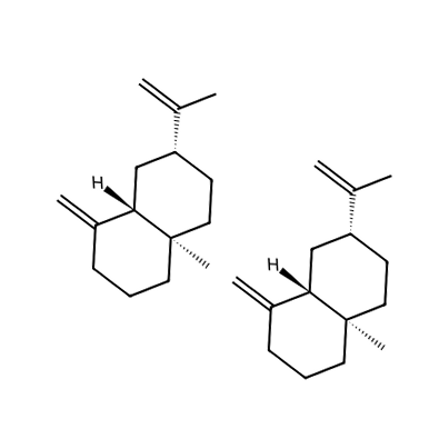 C=C(C)[C@@H]1CC[C@@]2(C)CCCC(=C)[C@@H]2C1.C=C(C)[C@@H]1CC[C@@]2(C)CCCC(=C)[C@@H]2C1